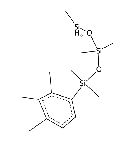 C[SiH2]O[Si](C)(C)O[Si](C)(C)c1ccc(C)c(C)c1C